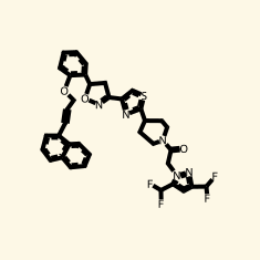 O=C(Cn1nc(C(F)F)cc1C(F)F)N1CCC(c2nc(C3=NOC(c4ccccc4OCC#Cc4cccc5ccccc45)C3)cs2)CC1